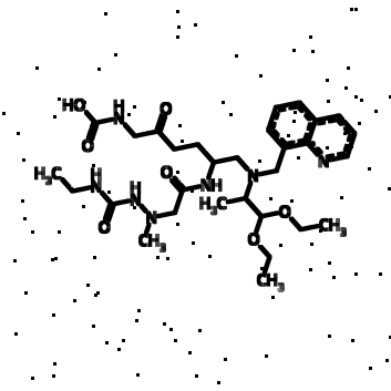 CCNC(=O)NN(C)CC(=O)NC(CCC(=O)CNC(=O)O)CN(Cc1cccc2cccnc12)C(C)C(OCC)OCC